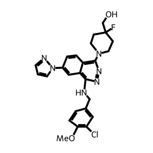 COc1ccc(CNc2nnc(N3CCC(F)(CO)CC3)c3ccc(-n4cccn4)cc23)cc1Cl